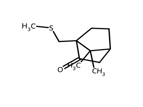 CSCC12CCC(CC1=O)C2(C)C